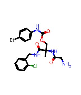 CCc1ccc(NC(=O)OCC(C)(NC(=O)CN)C(=O)NCc2ccccc2Cl)cc1